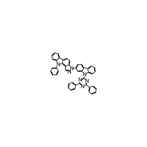 c1ccc(-c2nc(-c3ccccc3)nc(-n3c4ccccc4c4ccc(-n5ncc6c5ccc5c7ccccc7n(-c7ccccc7)c56)cc43)n2)cc1